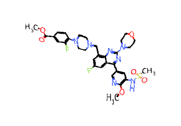 COC(=O)c1ccc(N2CCN(Cc3cc(F)cc4c(-c5cnc(OC)c(NS(C)(=O)=O)c5)nc(N5CCOCC5)nc34)CC2)c(F)c1